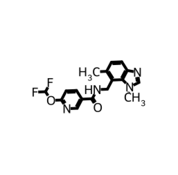 Cc1ccc2ncn(C)c2c1CNC(=O)c1ccc(OC(F)F)nc1